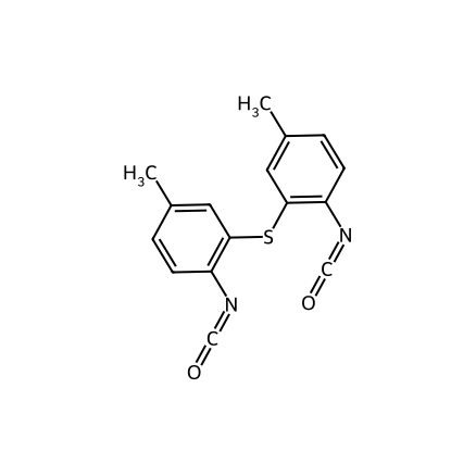 Cc1ccc(N=C=O)c(Sc2cc(C)ccc2N=C=O)c1